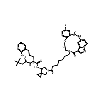 C[C@H]1CN(CCCCCCC(=O)N2C[C@H](NC(=O)[C@H](CCCc3cccnc3N)NC(=O)OC(C)(C)C)C3(CC3)C2)C(=O)c2cnn3ccc(nc23)N[C@H](C)c2cc(F)ccc2O1